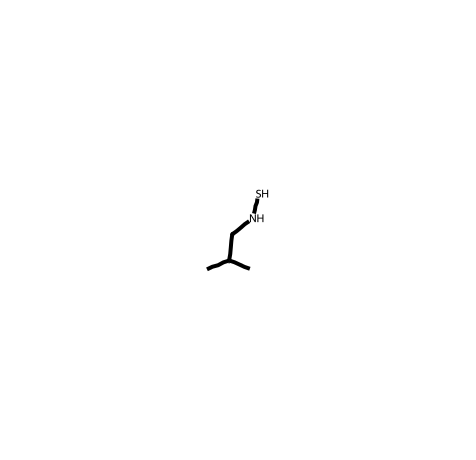 C[C](C)CNS